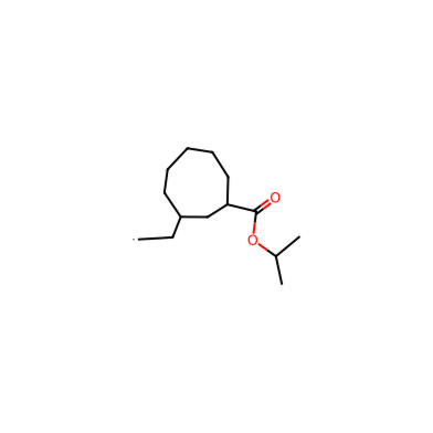 [CH2]CC1CCCCCC(C(=O)OC(C)C)C1